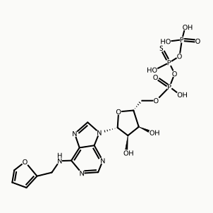 O=P(O)(O)OP(O)(=S)OP(=O)(O)OC[C@H]1O[C@@H](n2cnc3c(NCc4ccco4)ncnc32)[C@H](O)[C@@H]1O